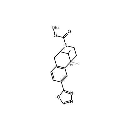 CC1C2Cc3ccc(-c4nnco4)cc3[C@]1(C)CCN2C(=O)OC(C)(C)C